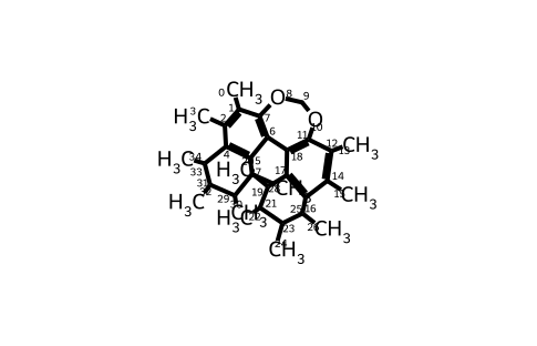 Cc1c(C)c2c(c3c1OCOc1c(C)c(C)c4c(c1-3)C(C)C(C)C(C)C4C)C(C)C(C)C(C)C2C